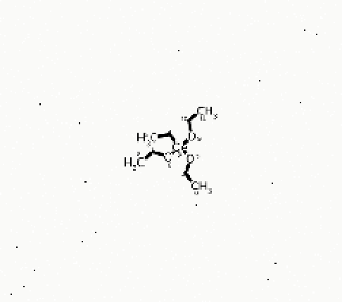 CC[O][Ge]([CH2]C)([O]CC)[O]CC